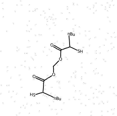 CCCCC(S)C(=O)OCOC(=O)C(S)CCCC